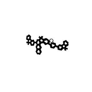 CC1(C)c2ccccc2-c2cc(-c3ccc4c(c3)oc3cc5c(cc34)-c3c(cc(-c4ccc6c(c4)-c4ccccc4C6(C)C)c4cc6ccccc6cc34)C5(C)C)ccc21